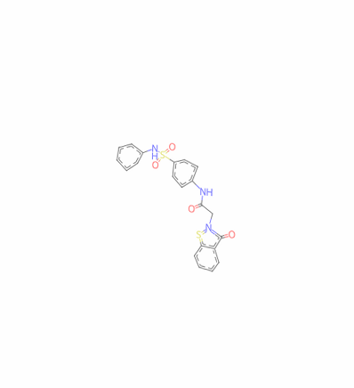 O=C(Cn1sc2ccccc2c1=O)Nc1ccc(S(=O)(=O)Nc2ccccc2)cc1